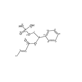 CC=CC(=O)OC(COP(=O)(O)O)c1ccccc1